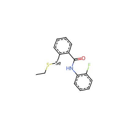 CCS[Se]c1ccccc1C(=O)Nc1ccccc1F